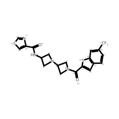 O=C(NC1CN(C2CN(C(=O)c3cc4ccc(C(F)(F)F)cc4s3)C2)C1)c1cscn1